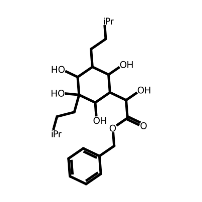 CC(C)CCC1C(O)C(C(O)C(=O)OCc2ccccc2)C(O)C(O)(CCC(C)C)C1O